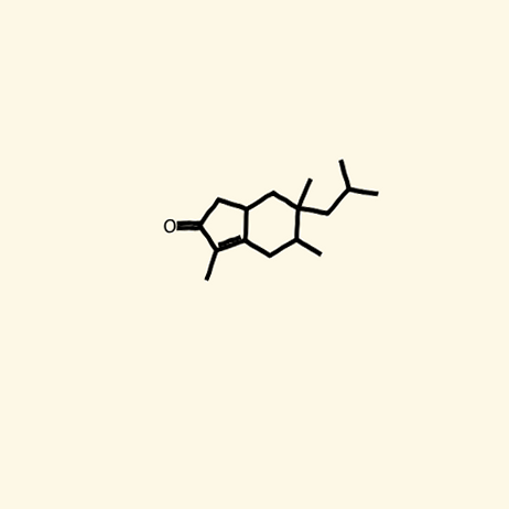 CC1=C2CC(C)C(C)(CC(C)C)CC2CC1=O